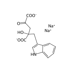 O=C([O-])C(=O)CC(O)(Cc1c[nH]c2ccccc12)C(=O)[O-].[Na+].[Na+]